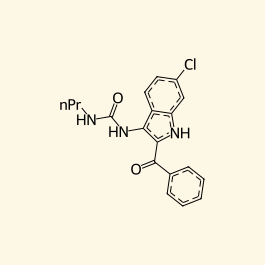 CCCNC(=O)Nc1c(C(=O)c2ccccc2)[nH]c2cc(Cl)ccc12